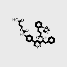 O=C(O)CCOC(=O)Nc1ccc(-c2cnnc(C(Cc3ccccc3)NC(=O)CCc3ccccc3-n3cnnn3)c2)cc1